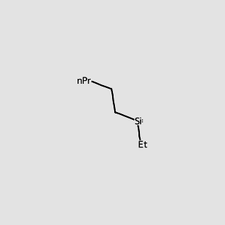 CCCCC[Si]CC